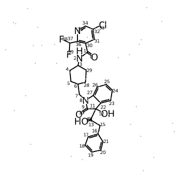 O=C(NC1CCC(CN2C(=O)C(O)([C@H](O)Cc3ccccc3)c3ccccc32)CC1)c1cc(Cl)cnc1C(F)F